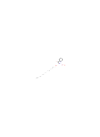 CCCCCCCCCCCCCCCC(=O)Oc1c(C=O)c2ccccc2n1C(=O)OC